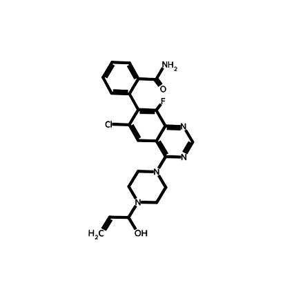 C=CC(O)N1CCN(c2ncnc3c(F)c(-c4ccccc4C(N)=O)c(Cl)cc23)CC1